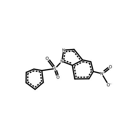 O=[N+]([O-])c1ccc2c(cnn2S(=O)(=O)c2ccccc2)c1